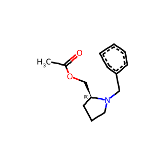 CC(=O)OC[C@@H]1CCCN1Cc1ccccc1